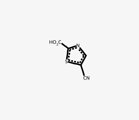 N#Cc1cnc(C(=O)O)s1